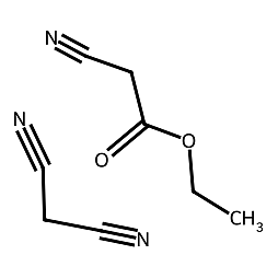 CCOC(=O)CC#N.N#CCC#N